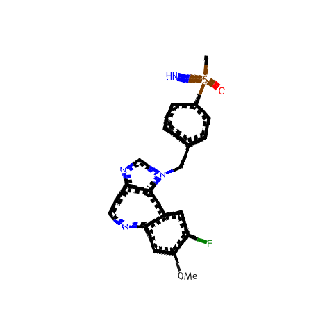 COc1cc2ncc3ncn(Cc4ccc(S(C)(=N)=O)cc4)c3c2cc1F